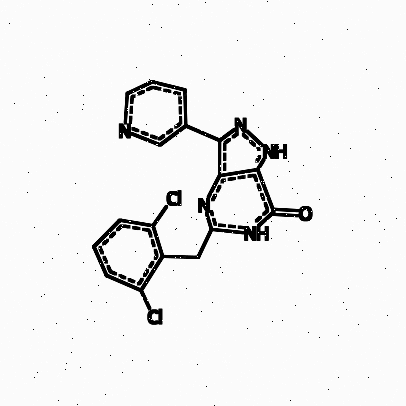 O=c1[nH]c(Cc2c(Cl)cccc2Cl)nc2c(-c3cccnc3)n[nH]c12